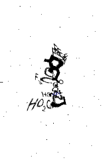 Cc1cc(S(F)(F)(F)(F)F)cc2c1O[C@H](C(F)(F)F)C(C(=O)OCO/N=[N+](\O)N1CCC[C@H]1C(=O)O)=C2